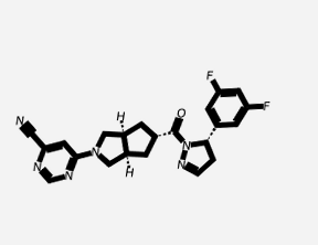 N#Cc1cc(N2C[C@H]3C[C@H](C(=O)N4N=CC[C@H]4c4cc(F)cc(F)c4)C[C@H]3C2)ncn1